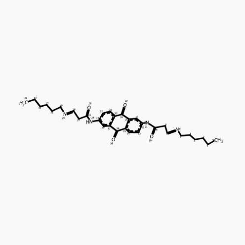 CCCCCCN=CCC(=O)Nc1ccc2c(c1)C(=O)c1ccc(NC(=O)CC=NCCCCCC)cc1C2=O